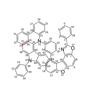 c1ccc(-c2nc3c(ccc4oc5cccc(-c6cccc(N(c7ccccc7-c7ccccc7)c7cccc8c7c7ccccc7n8-c7ccccc7)c6)c5c43)o2)cc1